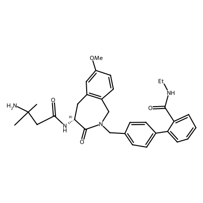 CCNC(=O)c1ccccc1-c1ccc(CN2Cc3ccc(OC)cc3C[C@@H](NC(=O)CC(C)(C)N)C2=O)cc1